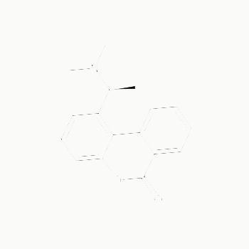 C[C@@H](c1c[c]cc2oc(=O)c3ccccc3c12)N(C)C